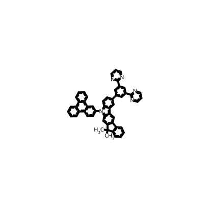 CC1(C)c2ccccc2-c2cc3c4cc(-c5cc(-c6ncccn6)cc(-c6ncccn6)c5)ccc4n(-c4ccc5c6ccccc6c6ccccc6c5c4)c3cc21